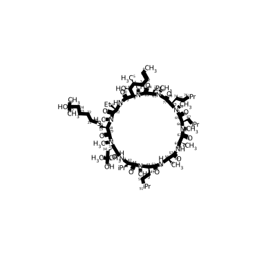 C/C=C/C[C@@H](C)[C@@H](O)[C@H]1C(=O)N[C@H](CC)C(=O)N(C)[C@H](CSCCCCC(C)(C)O)C(=O)N(C)[C@@H](CC(C)(C)O)C(=O)N[C@H](C(C)C)C(=O)N(C)[C@H](CCC(C)C)C(=O)N[C@H](C)C(=O)N[C@@H](C)C(=O)N(C)[C@H](CC(C)C)C(=O)N(C)[C@H](CCC(C)C)C(=O)N(C)[C@H](C(C)C)C(=O)N1C